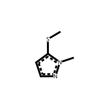 CSc1ccnn1C